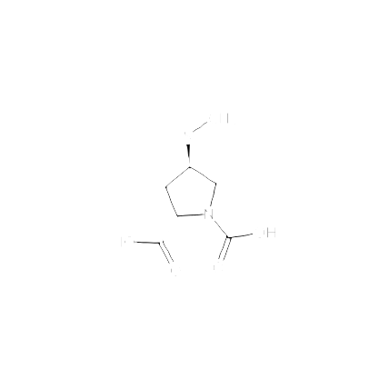 CS[C@@H]1C[C@@H](C(=O)O)N(C(=O)O)C1